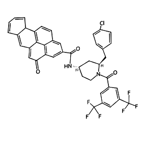 O=C(N[C@H]1CCN(C(=O)c2cc(C(F)(F)F)cc(C(F)(F)F)c2)[C@H](Cc2ccc(Cl)cc2)C1)c1cc2c3c4c(ccc3c1)C1C=CC=CC1=CC4=CC2=O